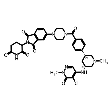 CN1C[C@H](Nc2cnn(C)c(=O)c2Cl)C[C@H](c2ccc(C(=O)N3CCN(c4ccc5c(c4)C(=O)N(C4CCC(=O)NC4=O)C5=O)CC3)cc2)C1